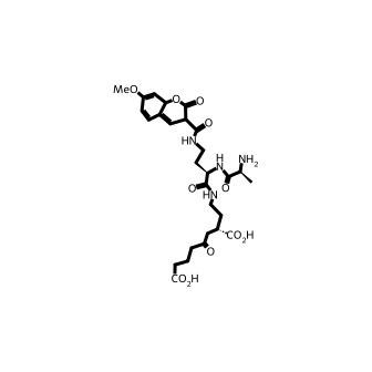 COC1=CC2OC(=O)C(C(=O)NCC[C@@H](NC(=O)[C@H](C)N)C(=O)NCC[C@@H](CC(=O)CCCC(=O)O)C(=O)O)C=C2C=C1